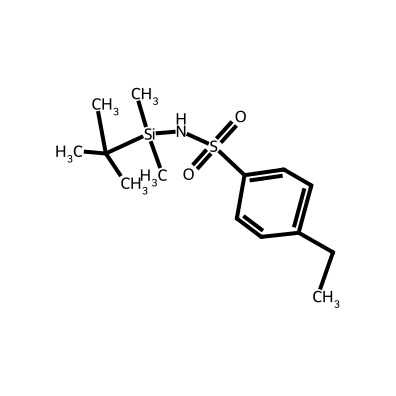 CCc1ccc(S(=O)(=O)N[Si](C)(C)C(C)(C)C)cc1